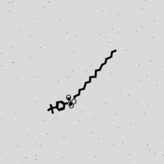 CCCCCCCCCCCCCCCCOS(=O)(=O)c1ccc(C(C)(C)C)cc1